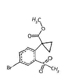 COC(=O)C1(c2ccc(Br)cc2S(C)(=O)=O)CC1